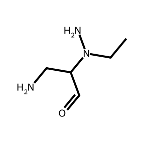 CCN(N)C(C=O)CN